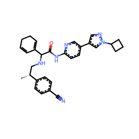 C[C@H](CNC(C(=O)Nc1ccc(-c2cnn(C3CCC3)c2)cn1)C1=CCCC=C1)c1ccc(C#N)cc1